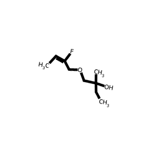 C/C=C(/F)COCC(C)(O)CC